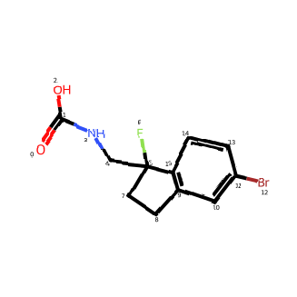 O=C(O)NCC1(F)CCc2cc(Br)ccc21